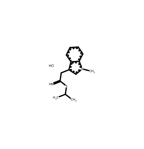 CC(C)SC(=N)Cc1cn(C)c2ccccc12.Cl